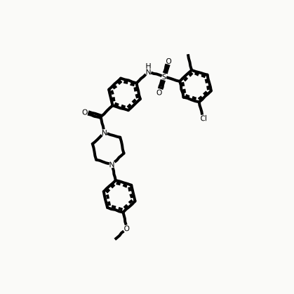 COc1ccc(N2CCN(C(=O)c3ccc(NS(=O)(=O)c4cc(Cl)ccc4C)cc3)CC2)cc1